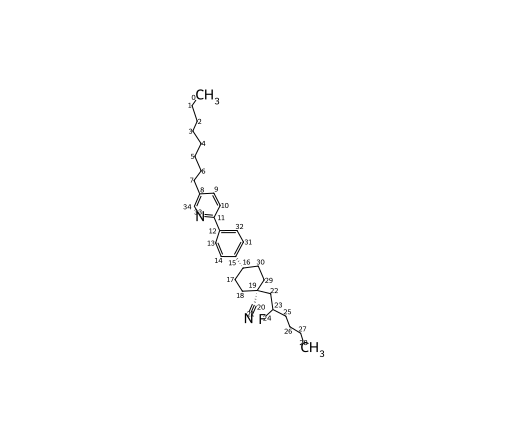 CCCCCCCCc1ccc(-c2ccc([C@H]3CC[C@](C#N)(CC(F)CCCC)CC3)cc2)nc1